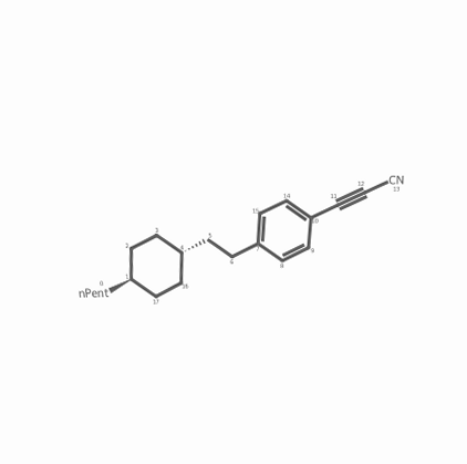 CCCCC[C@H]1CC[C@H](CCc2ccc(C#CC#N)cc2)CC1